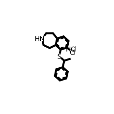 CC(Sc1c(Cl)ccc2c1CCNCC2)c1ccccc1.Cl